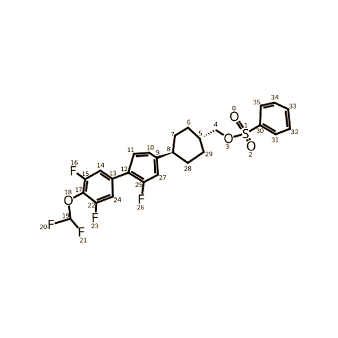 O=S(=O)(OC[C@H]1CC[C@H](c2ccc(-c3cc(F)c(OC(F)F)c(F)c3)c(F)c2)CC1)c1ccccc1